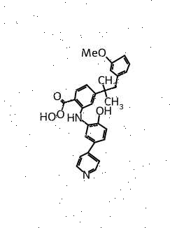 COc1cccc(CC(C)(C)c2ccc(C(=O)OO)c(Nc3cc(-c4ccncc4)ccc3O)c2)c1